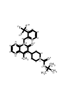 Cc1c(C2CCN(C(=O)OC(C)(C)C)CC2)c(=O)n(Cc2ncccc2C(F)(F)F)c2nccnc12